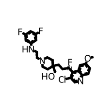 COc1ccc2ncc(Cl)c([C@@H](F)CCC3(CO)CCN(CCNc4cc(F)cc(F)c4)CC3)c2c1